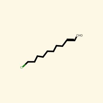 O=CC=CCCCCCCCCCl